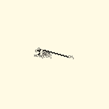 C#CC[C@H]1C(=O)O[C@@H]1C[C@H](CCCCCCCCCCCCCCCCC)O[Si](C)(C)C(C)(C)C